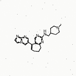 CN1CCC(CNc2ncc3c(n2)CCCC=C3c2cnc3nccn3c2)CC1